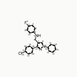 Fc1ccc(NCc2cn(-c3ccccc3)nc2-c2ccc(Cl)cc2)cc1